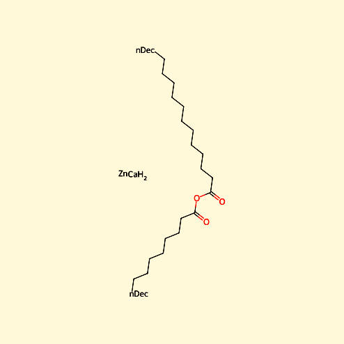 CCCCCCCCCCCCCCCCCCCCCC(=O)OC(=O)CCCCCCCCCCCCCCCCC.[CaH2].[Zn]